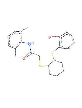 Cc1cccc(C)c1NC(=O)CSC1CCCCC1Sc1ccccc1Br